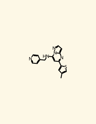 Cc1csc(-c2cc(NCc3ccncc3)n3nccc3n2)c1